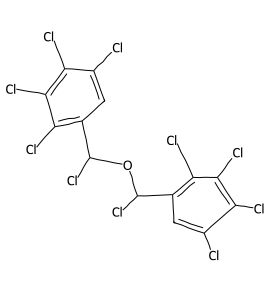 Clc1cc(C(Cl)OC(Cl)c2cc(Cl)c(Cl)c(Cl)c2Cl)c(Cl)c(Cl)c1Cl